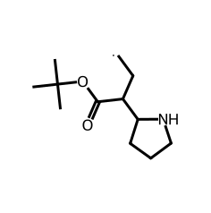 [CH2]CC(C(=O)OC(C)(C)C)C1CCCN1